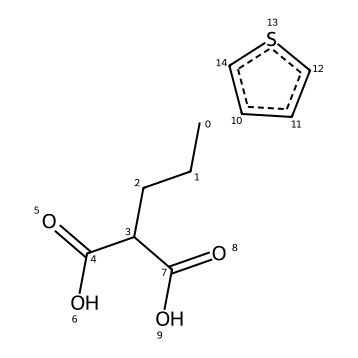 CCCC(C(=O)O)C(=O)O.c1ccsc1